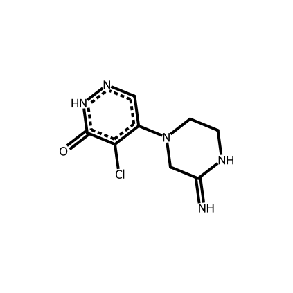 N=C1CN(c2cn[nH]c(=O)c2Cl)CCN1